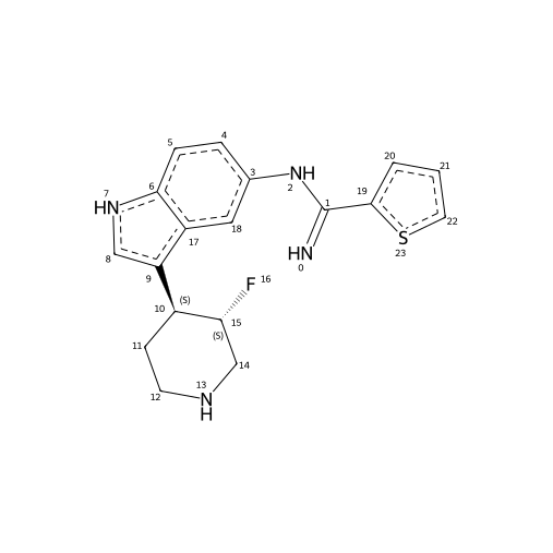 N=C(Nc1ccc2[nH]cc([C@@H]3CCNC[C@H]3F)c2c1)c1cccs1